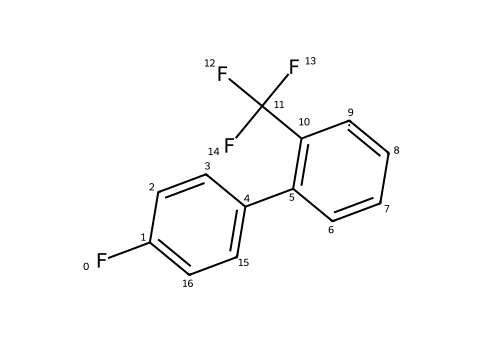 Fc1ccc(-c2ccc[c]c2C(F)(F)F)cc1